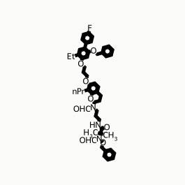 CCCc1c(OCCCOc2cc(OCc3ccccc3)c(-c3ccc(F)cc3)cc2CC)ccc2c1OC(N(C=O)CCCNC(=O)C(C)(C)N(C=O)OCc1ccccc1)CC2